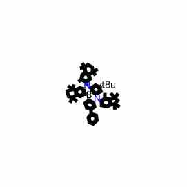 Cc1cc2c(cc1N1c3cc4c(cc3B3c5ccc(-c6ccccc6)cc5N(c5ccc6c(c5C)C(C)(C)CC6(C)C)c5cc(C(C)(C)C)cc1c53)C(C)(C)CCC4(C)C)C(C)(C)CCC2(C)C